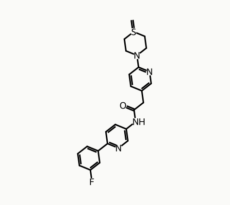 C=S1CCN(c2ccc(CC(=O)Nc3ccc(-c4cccc(F)c4)nc3)cn2)CC1